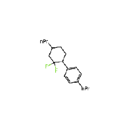 CCCc1ccc(C2CCC(CCC)CC2(F)F)cc1